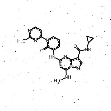 CNc1cc(Nc2cccn(-c3ccnc(C)n3)c2=O)nc2c(C(=O)NC3CC3)cnn12